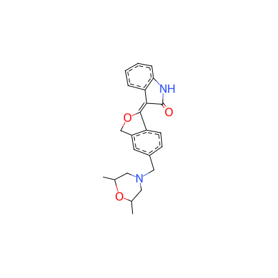 CC1CN(Cc2ccc3c(c2)CO/C3=C2/C(=O)Nc3ccccc32)CC(C)O1